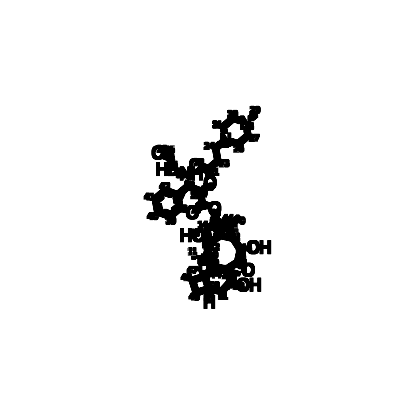 CC1=C2[C@@H](O)C(=O)[C@@]3(C)[C@H]([C@H](C)[C@](O)(C[C@@H]1OC(=O)[C@H](OC(=O)CCN1CCN(C)CC1)[C@@H](NBC=O)c1ccccc1)C2(C)C)[C@]1(C)CC[C@@H]1C[C@@H]3O